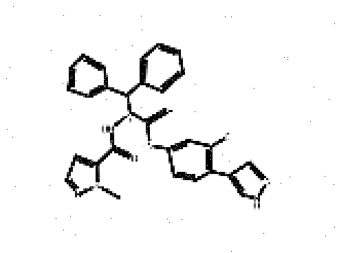 Cn1nccc1C(=O)N[C@H](C(=O)Nc1ccc(-c2cn[nH]c2)c(F)c1)C(c1ccccc1)c1ccccc1